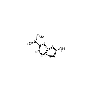 COC(=O)c1cc2cc(O)ccc2cn1